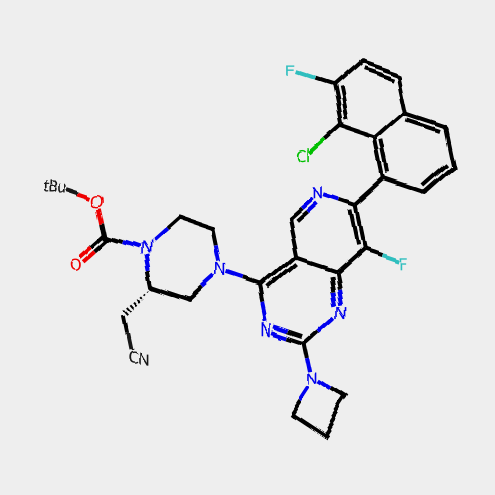 CC(C)(C)OC(=O)N1CCN(c2nc(N3CCC3)nc3c(F)c(-c4cccc5ccc(F)c(Cl)c45)ncc23)C[C@@H]1CC#N